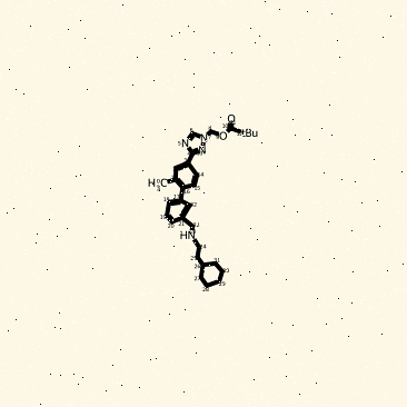 Cc1cc(-c2ncn(COC(=O)C(C)(C)C)n2)ccc1-c1cccc(CNCCC2CCCCC2)c1